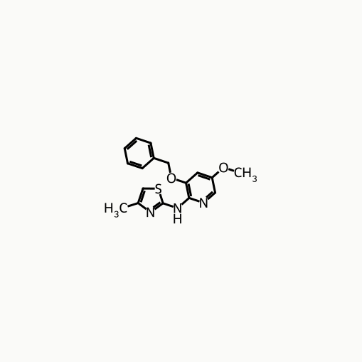 COc1cnc(Nc2nc(C)cs2)c(OCc2ccccc2)c1